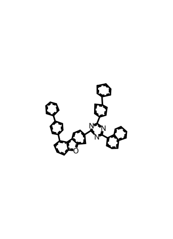 c1ccc(-c2ccc(-c3nc(-c4ccc5c(c4)oc4cccc(-c6ccc(-c7ccccc7)cc6)c45)nc(-c4cccc5ccccc45)n3)cc2)cc1